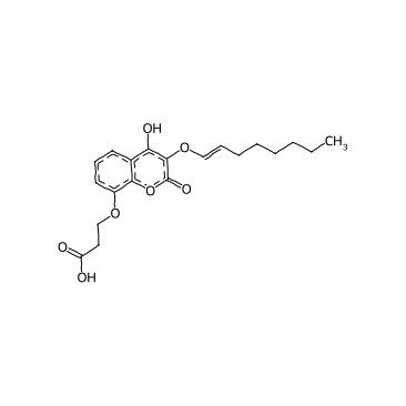 CCCCCCC=COc1c(O)c2cccc(OCCC(=O)O)c2oc1=O